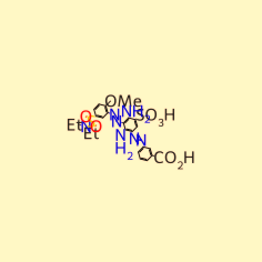 CCN(CC)S(=O)(=O)c1ccc(OC)c(/N=N/c2c(N)c(/N=N/c3cccc(C(=O)O)c3)cc(S(=O)(=O)O)c2N)c1